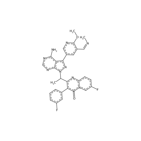 C/N=C\c1cc(-c2nn(C(C)c3nc4ccc(F)cn4c(=O)c3-c3cccc(F)c3)c3ncnc(N)c23)cnc1OC